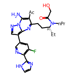 CCCN(C(=O)CO)[C@H](CC)CCc1nc2c(-c3cnc(-c4ncc[nH]4)c(F)c3)cnn2c(N)c1C(C)=O